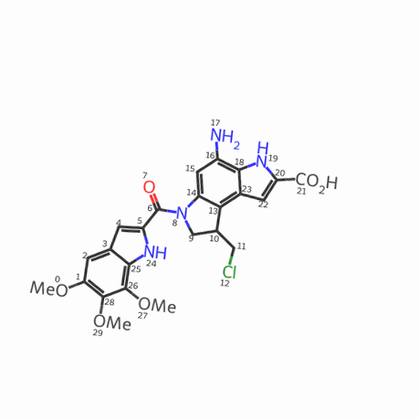 COc1cc2cc(C(=O)N3CC(CCl)c4c3cc(N)c3[nH]c(C(=O)O)cc43)[nH]c2c(OC)c1OC